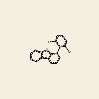 Clc1cccc(Br)c1-c1cccc2c1oc1ccccc12